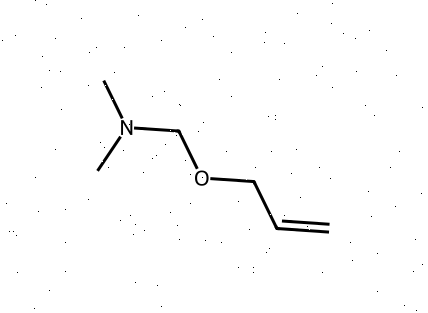 C=CCOCN(C)C